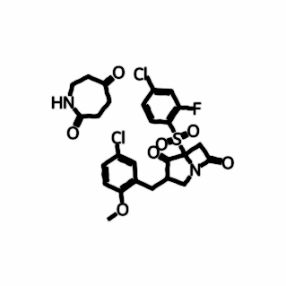 COc1ccc(Cl)cc1CC1CN2C(=O)CC2(S(=O)(=O)c2ccc(Cl)cc2F)C1=O.O=C1CCNC(=O)CC1